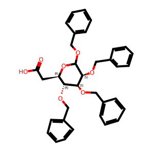 O=C(O)C[C@H]1OC(OCc2ccccc2)[C@@H](OCc2ccccc2)[C@@H](OCc2ccccc2)[C@@H]1OCc1ccccc1